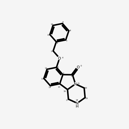 O=C1c2c(OCc3ccccc3)cccc2C2CNCCN12